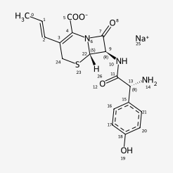 CC=CC1=C(C(=O)[O-])N2C(=O)[C@@H](NC(=O)[C@H](N)c3ccc(O)cc3)[C@@H]2SC1.[Na+]